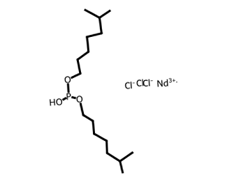 CC(C)CCCCCOP(O)OCCCCCC(C)C.[Cl-].[Cl-].[Cl-].[Nd+3]